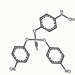 O=Nc1ccc(OP(=S)(Oc2ccc(N=O)cc2)Oc2ccc(NO)cc2)cc1